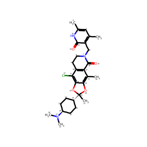 Cc1cc(C)c(CN2CCc3c(Cl)c4c(c(C)c3C2=O)OC(C)([C@H]2CC[C@H](N(C)C)CC2)O4)c(=O)[nH]1